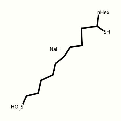 CCCCCCC(S)CCCCCCCCCS(=O)(=O)O.[NaH]